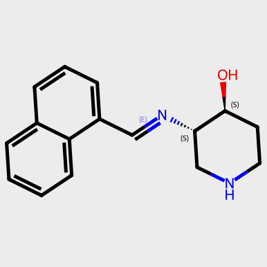 O[C@H]1CCNC[C@@H]1/N=C/c1cccc2ccccc12